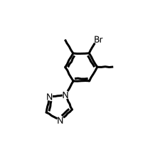 Cc1cc(-n2cncn2)cc(C)c1Br